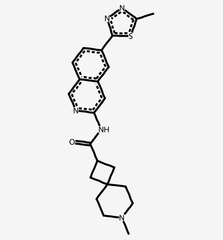 Cc1nnc(-c2ccc3cnc(NC(=O)C4CC5(CCN(C)CC5)C4)cc3c2)s1